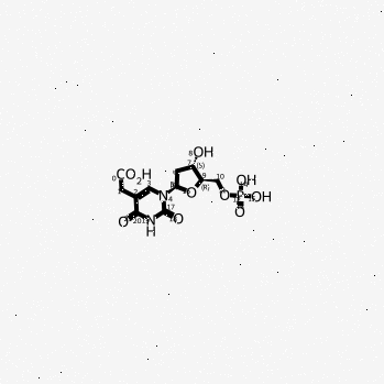 O=C(O)Cc1cn([C@H]2C[C@H](O)[C@@H](COP(=O)(O)O)O2)c(=O)[nH]c1=O